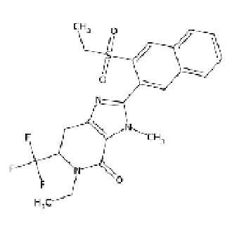 CCN1C(=O)c2c(nc(-c3cc4ccccc4cc3S(=O)(=O)CC)n2C)CC1C(F)(F)F